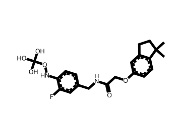 CC1(C)CCc2cc(OCC(=O)NCc3ccc(NOC(O)(O)O)c(F)c3)ccc21